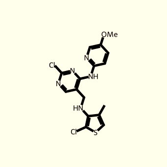 COc1ccc(Nc2nc(Cl)ncc2CNc2c(C)csc2Cl)nc1